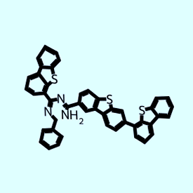 N/C(=N\C(=N/Cc1ccccc1)c1cccc2c1sc1ccccc12)c1ccc2sc3cc(-c4cccc5c4sc4ccccc45)ccc3c2c1